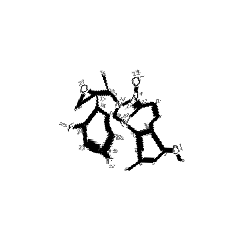 COc1cc(C)cc2c1C=CC1=[N+]([O-])N([C@H](C)[C@]3(c4ccc(F)cc4F)CO3)CN12